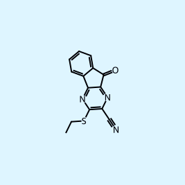 CCSc1nc2c(nc1C#N)C(=O)c1ccccc1-2